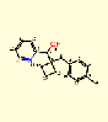 Cc1ccc(CC2(C(O)c3ccccn3)CCC2)cc1